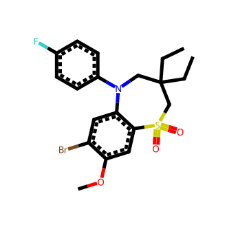 CCC1(CC)CN(c2ccc(F)cc2)c2cc(Br)c(OC)cc2S(=O)(=O)C1